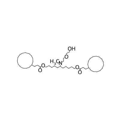 CN(CCOCCO)C(CCCCCOC(=O)CCC1CCCCCCCCCCCCCC1)CCCCCOC(=O)CCC1CCCCCCCCCCCCCC1